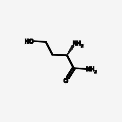 NC(=O)[C@@H](N)CCO